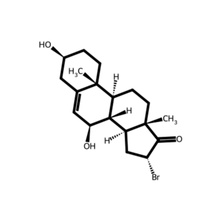 C[C@]12CC[C@H](O)CC1=C[C@H](O)[C@@H]1[C@@H]2CC[C@]2(C)C(=O)[C@H](Br)C[C@@H]12